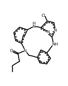 CCCC(=O)N1Cc2cccc(c2)Nc2ncc(Cl)c(n2)Nc2cccc1c2